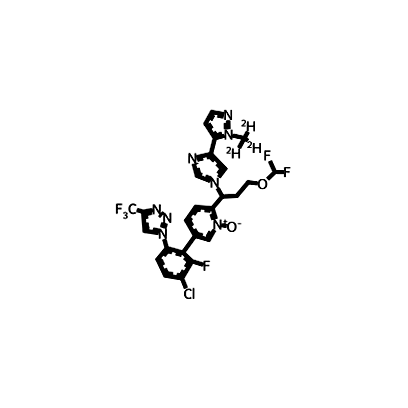 [2H]C([2H])([2H])n1nccc1-c1cn(C(CCOC(F)F)c2ccc(-c3c(-n4cc(C(F)(F)F)nn4)ccc(Cl)c3F)c[n+]2[O-])cn1